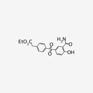 CCOC(=O)Cc1ccc(S(=O)(=O)c2ccc(O)c(C(N)=O)c2)cc1